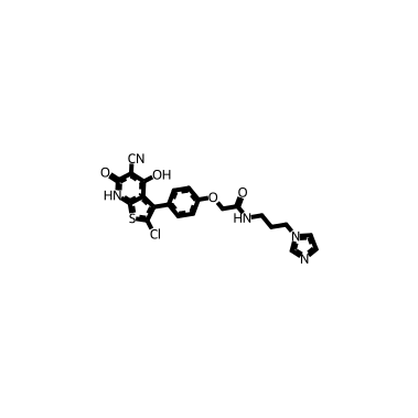 N#Cc1c(O)c2c(-c3ccc(OCC(=O)NCCCn4ccnc4)cc3)c(Cl)sc2[nH]c1=O